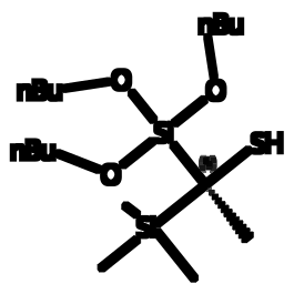 CCCCO[Si](OCCCC)(OCCCC)[C@@](C)(S)[Si](C)(C)C